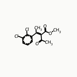 COC(=O)/C(C(C)=O)=C(\C)c1cccc(Cl)c1Cl